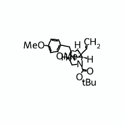 C=C[C@H]1[C@@H]2CC[C@@H](CN2C(=O)OC(C)(C)C)N1Cc1ccc(OC)cc1OC